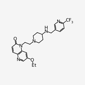 CCOc1cnc2ccc(=O)n(CCN3CCC(NCc4ccc(C(F)(F)F)nc4)CC3)c2c1